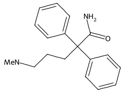 CNCCCC(C(N)=O)(c1ccccc1)c1ccccc1